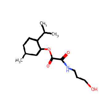 CC1CCC(C(C)C)C(OC(=O)C(=O)NCCCO)C1